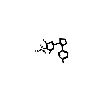 Cc1ccc(C2=C(c3cc(F)c(S(N)(=O)=O)c(F)c3)CCC2)cc1